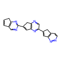 C1=Cc2cnc(C3=Cc4nc(C5=Cc6nnccc6C5)cnc4C3)nc2C1